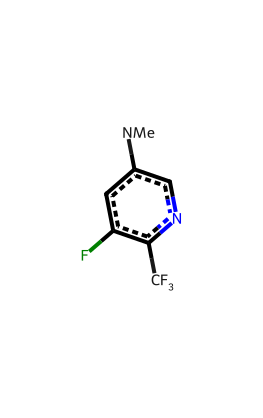 CNc1cnc(C(F)(F)F)c(F)c1